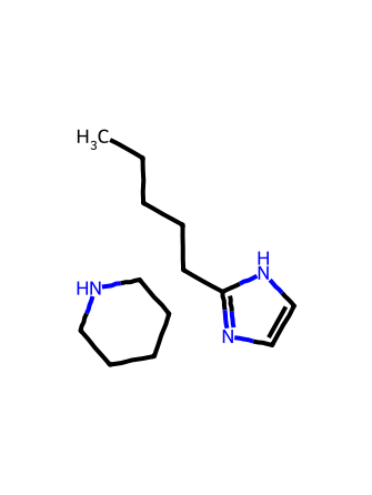 C1CCNCC1.CCCCCc1ncc[nH]1